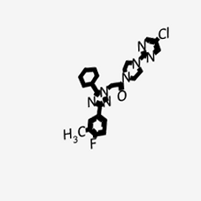 Cc1cc(-c2nc(C3CCCCC3)n(CC(=O)N3CCN(c4ncc(Cl)cn4)CC3)n2)ccc1F